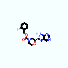 Nc1ncncc1/N=C/[C@@H]1CN(C(=O)OCc2ccccc2F)CCO1